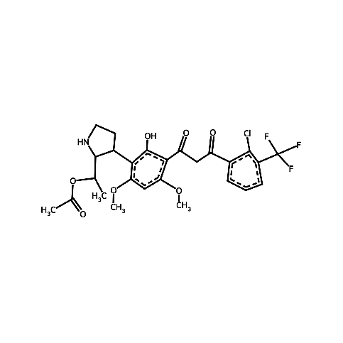 COc1cc(OC)c(C2CCNC2C(C)OC(C)=O)c(O)c1C(=O)CC(=O)c1cccc(C(F)(F)F)c1Cl